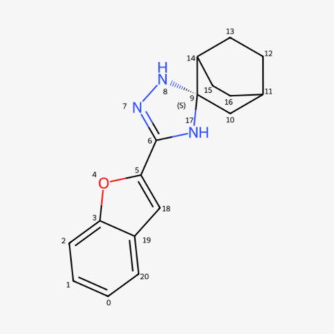 c1ccc2oc(C3=NN[C@]4(CC5CCC4CC5)N3)cc2c1